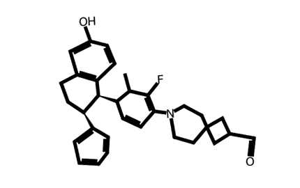 CC1C(F)=C(N2CCC3(CC2)CC(C=O)C3)C=CC1[C@@H]1c2ccc(O)cc2CC[C@@H]1c1ccccc1